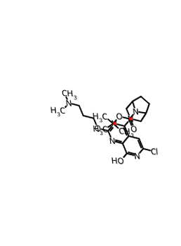 CN(C)CCCOc1nc(N2CC3CCC(C2)N3C(=O)OC(C)(C)C)c2cc(Cl)nc(O)c2n1